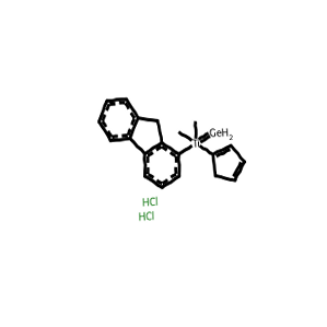 Cl.Cl.[CH3][Ti]([CH3])(=[GeH2])([C]1=CC=CC1)[c]1cccc2c1Cc1ccccc1-2